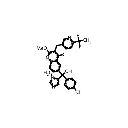 COc1nc2ccc(C(O)(c3ccc(Cl)cc3)c3cncn3C)cc2c(Cl)c1Cc1ccc(C(C)(F)F)nc1